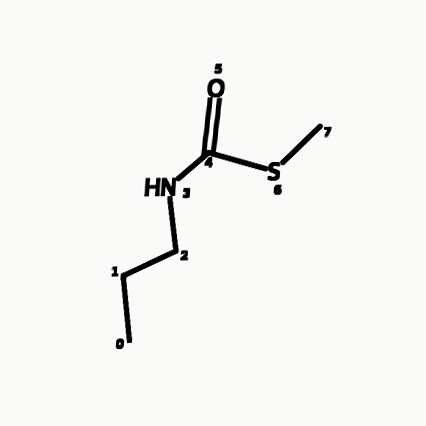 CCCNC(=O)SC